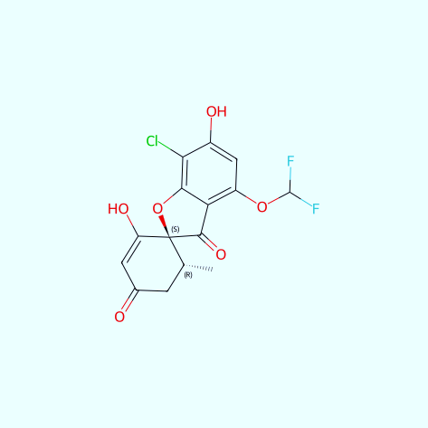 C[C@@H]1CC(=O)C=C(O)[C@@]12Oc1c(Cl)c(O)cc(OC(F)F)c1C2=O